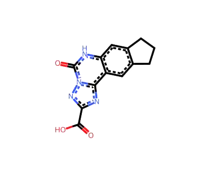 O=C(O)c1nc2c3cc4c(cc3[nH]c(=O)n2n1)CCC4